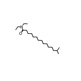 CCN(CC)C(=O)CCCCCCCCCCCCC(C)C